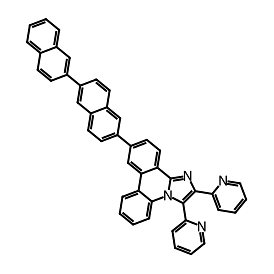 c1ccc(-c2nc3c4ccc(-c5ccc6cc(-c7ccc8ccccc8c7)ccc6c5)cc4c4ccccc4n3c2-c2ccccn2)nc1